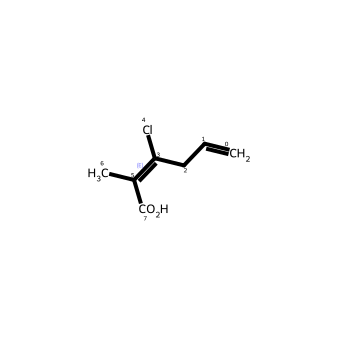 C=CC/C(Cl)=C(/C)C(=O)O